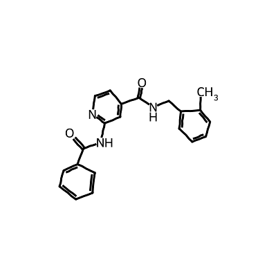 Cc1ccccc1CNC(=O)c1ccnc(NC(=O)c2ccccc2)c1